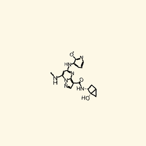 CNc1cc(Nc2cccnc2OC)nc2c(C(=O)N[C@@H]3CC4C[C@]43O)cnn12